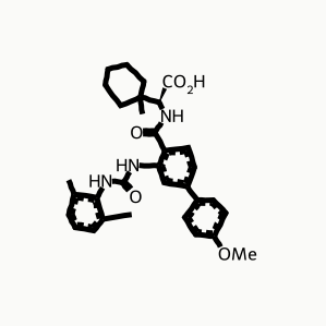 COc1ccc(-c2ccc(C(=O)N[C@H](C(=O)O)C3(C)CCCCC3)c(NC(=O)Nc3c(C)cccc3C)c2)cc1